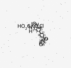 CC(C)(C)C(NC(=O)O)c1cc2cc(-c3ccc(C(=O)N4CCOCC4)cc3)cc(Cl)c2o1